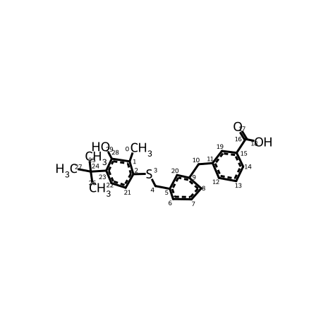 Cc1c(SCc2cccc(Cc3cccc(C(=O)O)c3)c2)ccc(C(C)(C)C)c1O